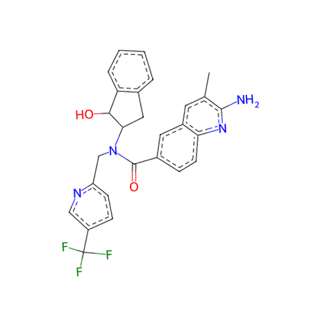 Cc1cc2cc(C(=O)N(Cc3ccc(C(F)(F)F)cn3)C3Cc4ccccc4C3O)ccc2nc1N